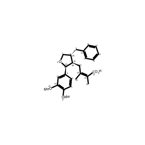 COc1ccc([C@H]2OC[C@H](Cc3ccccc3)[C@H]2CC(C)=C(C)C(=O)O)cc1OC